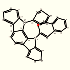 C1=c2c(n(-c3ccc4ccccc4c3)c3c2ccc2c4ccccc4n(-c4ccccc4)c23)=CCC1